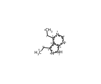 CCc1ncnc2[nH]nc(CC)c12